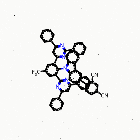 N#Cc1ccc(-c2ccc3c(c2)c2ccccc2n3-c2c(-c3cc(-c4ccccc4)nc(-c4ccccc4)n3)cc(C(F)(F)F)cc2-c2nc(-c3ccccc3)cc(-c3ccccc3)n2)c(C#N)c1